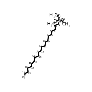 CO[Si](CCCCCCCCCCCCCCCCCCCCI)(OC)OC